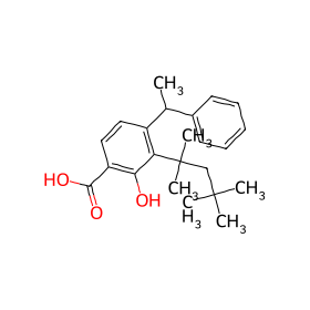 CC(c1ccccc1)c1ccc(C(=O)O)c(O)c1C(C)(C)CC(C)(C)C